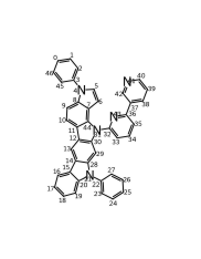 c1ccc(-n2ccc3c2ccc2c4cc5c6ccccc6n(-c6ccccc6)c5cc4n(-c4cccc(-c5cccnc5)n4)c23)cc1